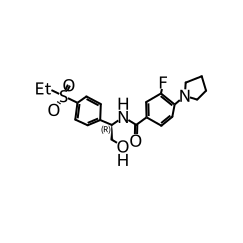 CCS(=O)(=O)c1ccc([C@H](CO)NC(=O)c2ccc(N3CCCC3)c(F)c2)cc1